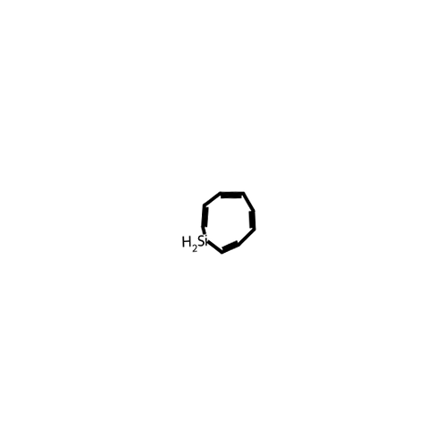 C1=CC=C[SiH2]C=CC=C1